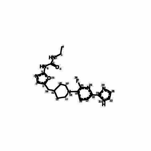 CCNC(=O)Nc1ncc(CC2CCN(c3ccc(-c4ncc[nH]4)nc3F)CC2)o1